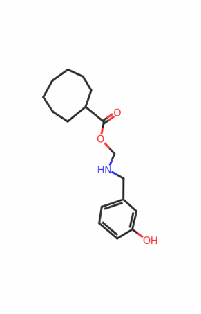 O=C(OCNCc1cccc(O)c1)C1CCCCCCC1